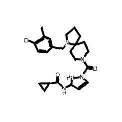 Cc1cc(CN2CCCC23CCN(C(=O)N2C=CC(NC(=O)C4CC4)N2)CC3)ccc1Cl